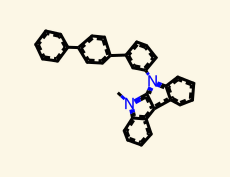 Cn1c2ccccc2c2c3ccccc3n(-c3cccc(-c4ccc(-c5ccccc5)cc4)c3)c21